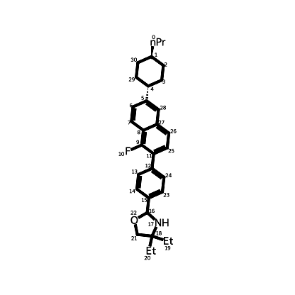 CCC[C@H]1CC[C@H](c2ccc3c(F)c(-c4ccc(C5NC(CC)(CC)CO5)cc4)ccc3c2)CC1